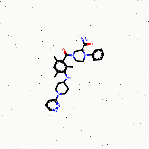 Cc1cc(C)c(C(=O)N2CCN(c3ccccc3)[C@H](C(N)=O)C2)c(C)c1NC1CCN(c2cccnn2)CC1